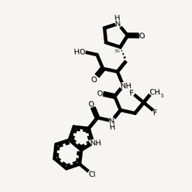 CC(F)(F)CC(NC(=O)c1cc2cccc(Cl)c2[nH]1)C(=O)NC(C[C@@H]1CCNC1=O)C(=O)CO